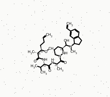 C=CCC[C@@H](OC)[C@@H](C)C(=O)N[C@H](C(=O)N[C@@H](C)C(=O)N1CCC[C@@H](C(O)N(C)C2CCc3ccc(C=C)cc32)N1)C(C)C